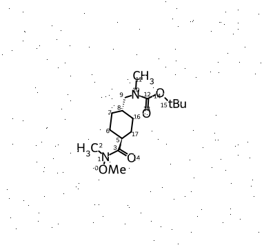 CON(C)C(=O)[C@H]1CC[C@H](CN(C)C(=O)OC(C)(C)C)CC1